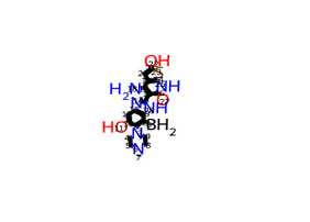 Bc1c(N2CCN(C)CC2)c(O)cc2nc(-c3c(N)c4cc(O)sc4[nH]c3=O)[nH]c12